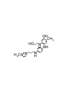 Cc1cc(Nc2ccc(NCCCn3cc[n+](C)c3)cc2)c(NCCO)cc1O